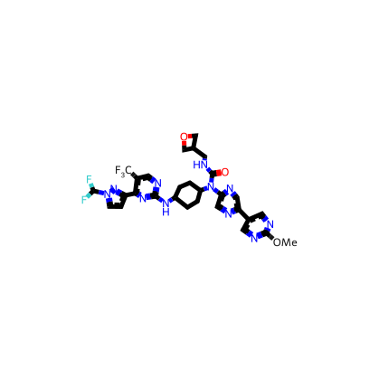 COc1ncc(-c2cnc(N(C(=O)NCC3COC3)C3CCC(Nc4ncc(C(F)(F)F)c(-c5ccn(C(F)F)n5)n4)CC3)cn2)cn1